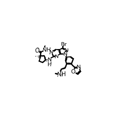 CNCCc1cc(-n2nc(Br)c3cnc(N[C@@H]4CC[C@@](C)(C(=O)NC)C4)nc32)ccc1-c1ncco1